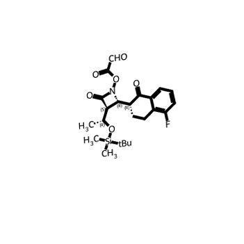 C[C@@H](O[Si](C)(C)C(C)(C)C)[C@H]1C(=O)N(OC(=O)C=O)[C@@H]1[C@H]1CCc2c(F)cccc2C1=O